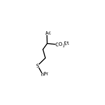 CCCSCCC(C(C)=O)C(=O)OCC